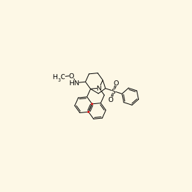 CONC1CCC2C(S(=O)(=O)c3ccccc3)CC1(c1ccccc1)N2Cc1ccccc1